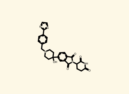 O=C1CCC(N2C(=O)c3ccc(C4(O)CCN(Cc5ccc(-c6nccs6)cc5)CC4)cc3C2=O)C(=O)N1